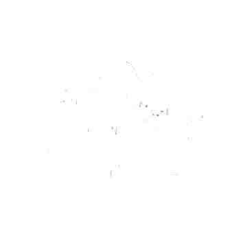 Cc1ccccc1N(C(=O)c1c(C)cccc1N)c1c(C)cccc1N